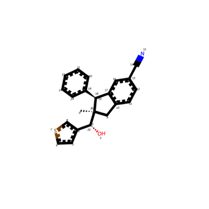 C[C@@]1([C@H](O)c2ccsc2)Cc2ccc(C#N)cc2[C@@H]1c1ccccc1